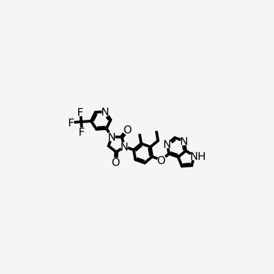 CCc1c(Oc2ncnc3[nH]ccc23)ccc(N2C(=O)CN(c3cncc(C(F)(F)F)c3)C2=O)c1C